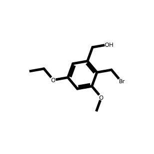 CCOc1cc(CO)c(CBr)c(OC)c1